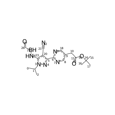 CC(C)n1nc(-c2ncc(CC(=O)OC(C)(C)C)cn2)c(C#N)c1NBC=O